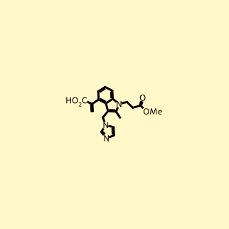 C=C(C(=O)O)c1cccc2c1c(Cn1ccnc1)c(C)n2CCC(=O)OC